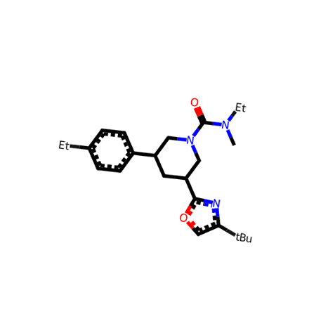 CCc1ccc(C2CC(c3nc(C(C)(C)C)co3)CN(C(=O)N(C)CC)C2)cc1